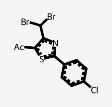 CC(=O)c1sc(-c2ccc(Cl)cc2)nc1C(Br)Br